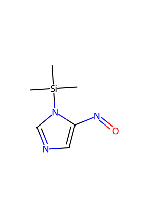 C[Si](C)(C)n1cncc1N=O